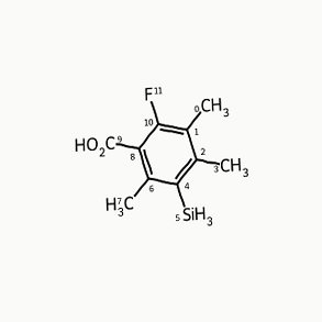 Cc1c(C)c([SiH3])c(C)c(C(=O)O)c1F